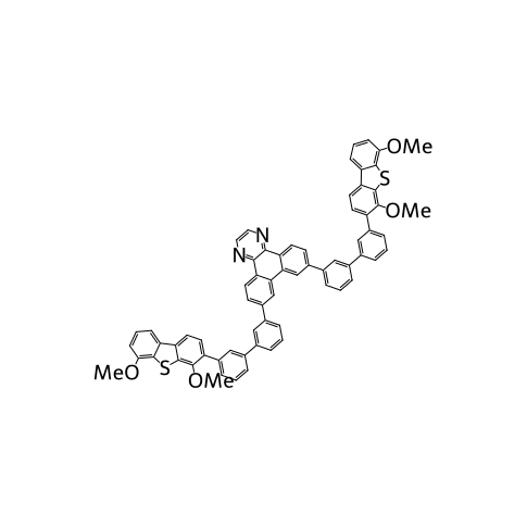 COc1cccc2c1sc1c(OC)c(-c3cccc(-c4cccc(-c5ccc6c(c5)c5cc(-c7cccc(-c8cccc(-c9ccc%10c(sc%11c(OC)cccc%11%10)c9OC)c8)c7)ccc5c5nccnc65)c4)c3)ccc12